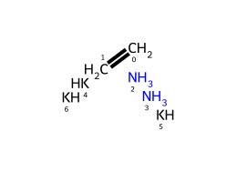 C=C.N.N.[KH].[KH].[KH]